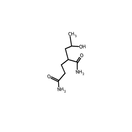 CC(O)CC(CCC(N)=O)C(N)=O